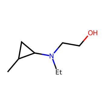 CCN(CCO)C1CC1C